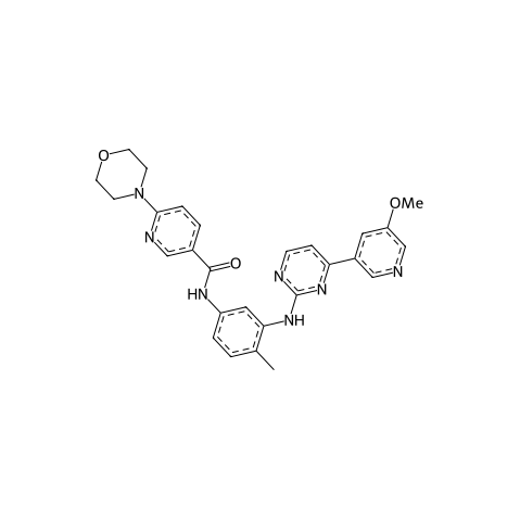 COc1cncc(-c2ccnc(Nc3cc(NC(=O)c4ccc(N5CCOCC5)nc4)ccc3C)n2)c1